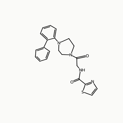 O=C(NCC(=O)N1CCN(c2ccccc2-c2ccccc2)CC1)c1nccs1